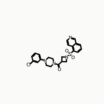 O=C(C1CN(S(=O)(=O)c2cccc3cnccc23)C1)N1CCN(c2cccc(Cl)c2)CC1